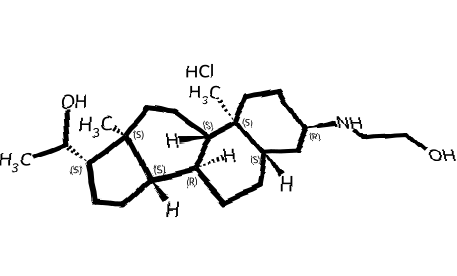 CC(O)[C@H]1CC[C@H]2[C@@H]3CC[C@H]4C[C@H](NCCO)CC[C@]4(C)[C@H]3CC[C@]12C.Cl